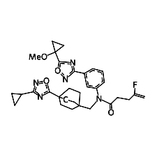 C=C(F)CCC(=O)N(CC12CCC(c3nc(C4CC4)no3)(CC1)CC2)c1cccc(-c2noc(C3(OC)CC3)n2)c1